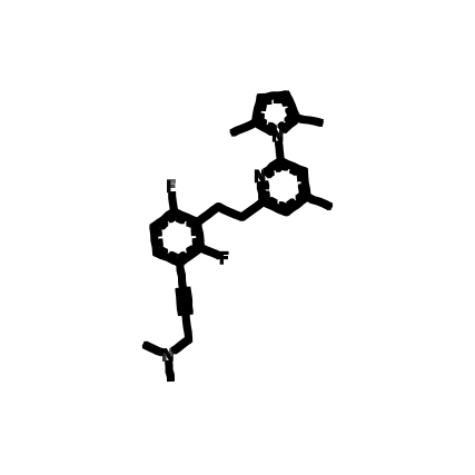 Cc1cc(CCc2c(F)ccc(C#CCN(C)C)c2F)nc(-n2c(C)ccc2C)c1